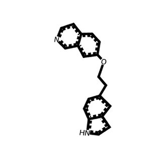 c1cc2ccc(OCCc3ccc4[nH]ccc4c3)cc2cn1